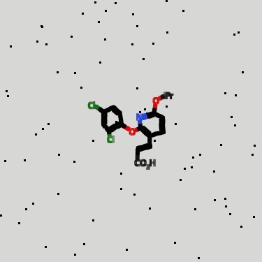 CC(C)Oc1ccc(C=CC(=O)O)c(Oc2ccc(Cl)cc2Cl)n1